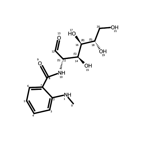 CNc1ccccc1C(=O)N[C@H](C=O)[C@H](O)[C@@H](O)[C@@H](O)CO